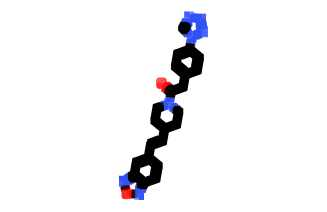 O=C(Cc1ccc(-n2cnnn2)cc1)N1CCC(C=Cc2ccc3nonc3c2)CC1